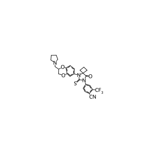 N#Cc1ccc(N2C(=O)C3(CCC3)N(c3ccc4c(c3)OCC(CN3CCCC3)O4)C2=S)cc1C(F)(F)F